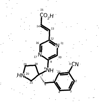 N#Cc1cccc(C[C@@]2(Nc3cnc(/C=C/C(=O)O)cn3)CCNC2)c1